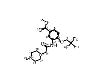 COC(=O)c1ccc(OCC(F)(F)F)c(NC(=O)CN2CCN(C)CC2)c1